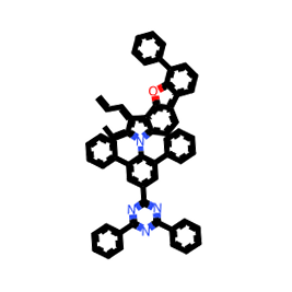 C=C/C=c1\c(=C/C)n(-c2c(-c3ccccc3)cc(-c3nc(-c4ccccc4)nc(-c4ccccc4)n3)cc2-c2ccccc2)c2ccc3c4cccc(-c5ccccc5)c4oc3c12